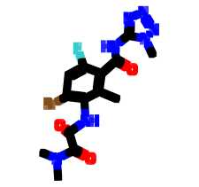 Cc1c(NC(=O)C(=O)N(C)C)c(Br)cc(F)c1C(=O)Nc1nnnn1C